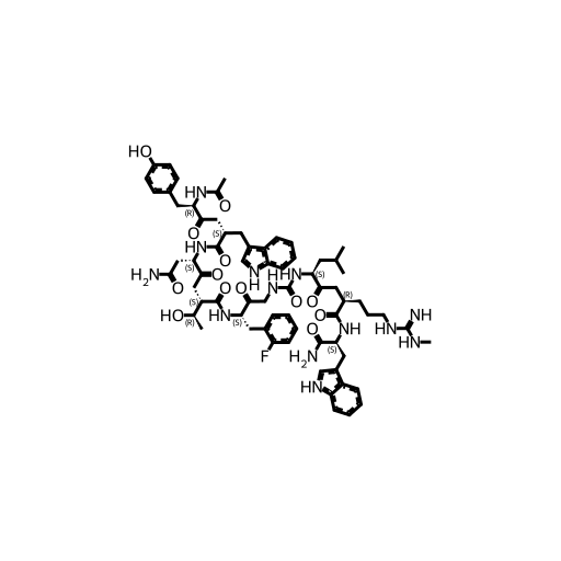 CNC(=N)NCCC[C@H](CC(=O)[C@H](CC(C)C)NC(=O)NCC(=O)[C@H](Cc1ccccc1F)NC(=O)[C@@H](CC(=O)[C@H](CC(N)=O)NC(=O)[C@H](CC(=O)[C@@H](Cc1ccc(O)cc1)NC(C)=O)Cc1c[nH]c2ccccc12)[C@@H](C)O)C(=O)N[C@@H](Cc1c[nH]c2ccccc12)C(N)=O